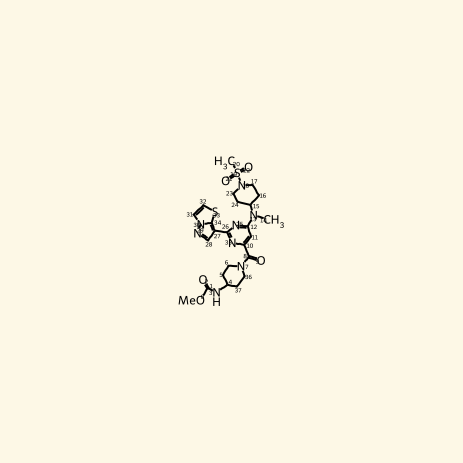 COC(=O)NC1CCN(C(=O)c2cc(N(C)C3CCN(S(C)(=O)=O)CC3)nc(-c3cnn4ccsc34)n2)CC1